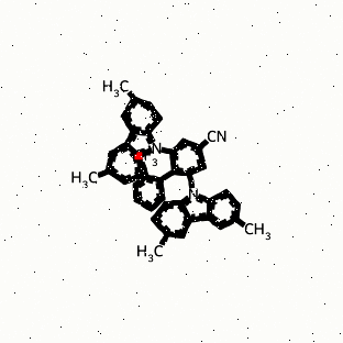 Cc1ccc2c(c1)c1cc(C)ccc1n2-c1cc(C#N)cc(-n2c3ccc(C)cc3c3cc(C)ccc32)c1-c1ccccc1C(F)(F)F